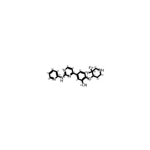 N#Cc1cc(-c2ccnc(Nc3ccccn3)n2)ccc1OC1CCNCC1(F)F